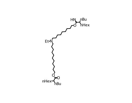 CCCCCCC(CCCC)C(=N)OCCCCCCCCCN(CC)CCCCCCCCCCCOC(=O)C(CCCC)CCCCCC